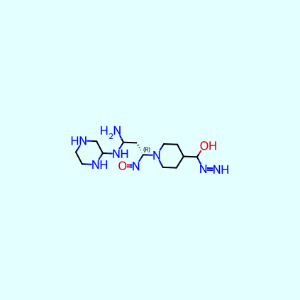 N=NC(O)C1CCN([C@@H](CC(N)NC2CNCCN2)N=O)CC1